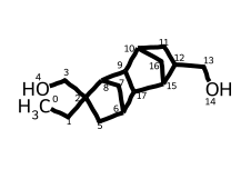 CCC1(CO)CC2CC1C1C3CC(CO)C(C3)C21